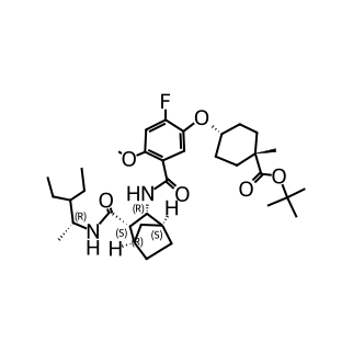 CCC(CC)[C@@H](C)NC(=O)[C@H]1[C@@H]2CC[C@@H](C2)[C@H]1NC(=O)c1cc(O[C@H]2CC[C@@](C)(C(=O)OC(C)(C)C)CC2)c(F)cc1OC